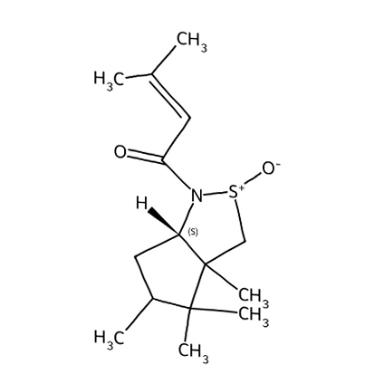 CC(C)=CC(=O)N1[C@H]2CC(C)C(C)(C)C2(C)C[S+]1[O-]